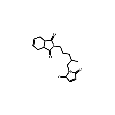 CC(CCCN1C(=O)C2CC=CCC2C1=O)CN1C(=O)C=CC1=O